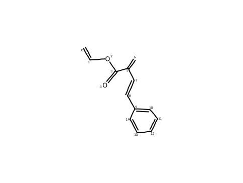 C=COC(=O)C(=C)C=Cc1ccccc1